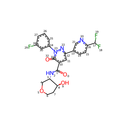 O=C(N[C@H]1COCC[C@@H]1O)c1cc(-c2ccc(C(F)F)nc2)nn(-c2cccc(F)c2)c1=O